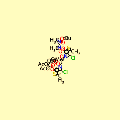 COC(=O)[C@H]1O[C@@H](Oc2cc3c(c4c(C)csc24)[C@H](CCl)CN3C(=O)CCCC(=O)N2C[C@@H](CCl)c3c2cc(OC(=O)N(C)CCN(C)C(=O)OC(C)(C)C)c2scc(C)c32)[C@H](OC(C)=O)[C@@H](OC(C)=O)[C@@H]1OC(C)=O